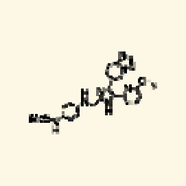 CSNc1ccc(NCc2nc(-c3ccc4ncnn4c3)c(-c3cccc(C)n3)[nH]2)cc1